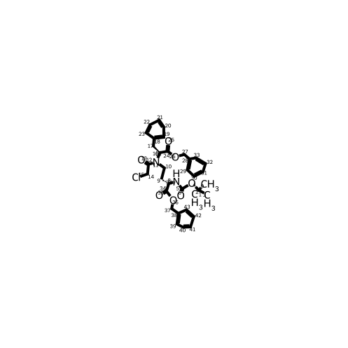 CC(C)(C)OC(=O)N[C@@H](CCN(C(=O)CCl)[C@@H](Cc1ccccc1)C(=O)OCc1ccccc1)C(=O)OCc1ccccc1